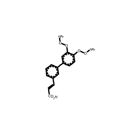 CCCOOc1ccc(-c2cccc(C=CC(=O)O)c2)cc1OOCCC